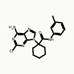 Cc1cccc(NC(=O)C2(n3cnc4c(N)nc(Cl)nc43)CCCCC2)c1